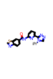 CC(C)n1cnnc1-c1cccc(NC(=O)c2ccc3ncsc3c2)n1